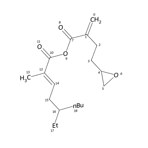 C=C(CCC1CO1)C(=O)OC(=O)C(C)=CCC(CC)CCCC